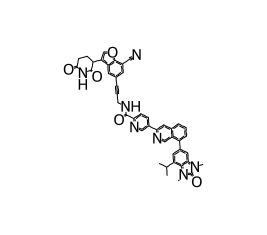 CC(C)c1cc(-c2cccc3cc(-c4ccc(C(=O)NCC#Cc5cc(C#N)c6occ(C7CCC(=O)NC7=O)c6c5)nc4)ncc23)cc2c1n(C)c(=O)n2C